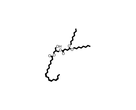 CC/C=C\C/C=C\C/C=C\CCCCCCCC(=O)OCC(CO)COC(=O)CCC(OCCCCCCCC)OCCCCCCCC